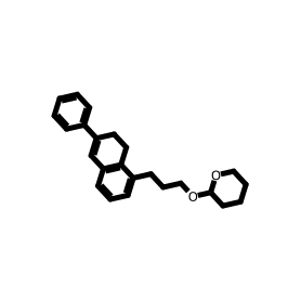 C1=C(c2ccccc2)CCc2c1cccc2CCCOC1CCCCO1